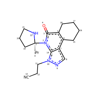 CC(C)[C@]1(n2c(=O)c3c(c4cnn(CCC#N)c42)CCCC3)CCCN1